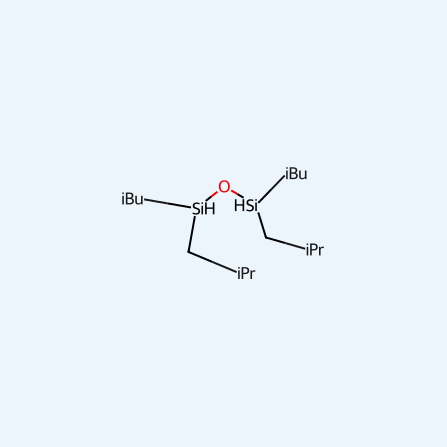 CCC(C)[SiH](CC(C)C)O[SiH](CC(C)C)C(C)CC